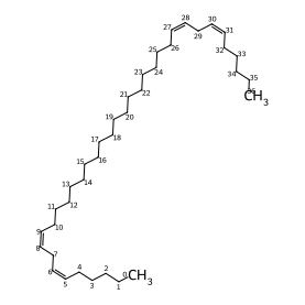 CCCCC/C=C\C/C=C\CCCCCCCCCCCCCCCCC/C=C\C/C=C\CCCCC